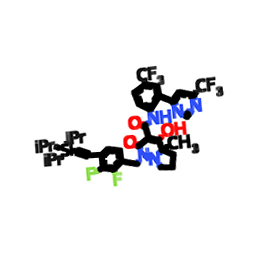 CC(C)[Si](C#Cc1ccc(CN2C(=O)C(C(=O)Nc3ccc(C(F)(F)F)cc3-c3cc(C(F)(F)F)ncn3)=C(O)C3(C)CCCN23)c(F)c1F)(C(C)C)C(C)C